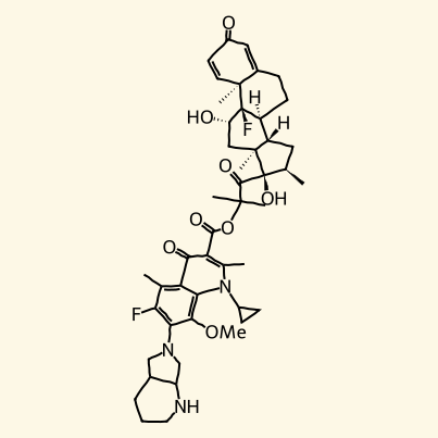 COc1c(N2CC3CCCNC3C2)c(F)c(C)c2c(=O)c(C(=O)OC(C)(C)C(=O)[C@@]3(O)[C@H](C)C[C@H]4[C@@H]5CCC6=CC(=O)C=C[C@]6(C)[C@@]5(F)[C@@H](O)C[C@@]43C)c(C)n(C3CC3)c12